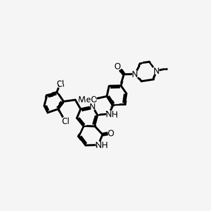 COc1cc(C(=O)N2CCN(C)CC2)ccc1Nc1nc(Cc2c(Cl)cccc2Cl)cc2cc[nH]c(=O)c12